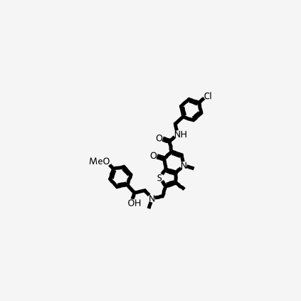 COc1ccc(C(O)CN(C)Cc2sc3c(=O)c(C(=O)NCc4ccc(Cl)cc4)cn(C)c3c2C)cc1